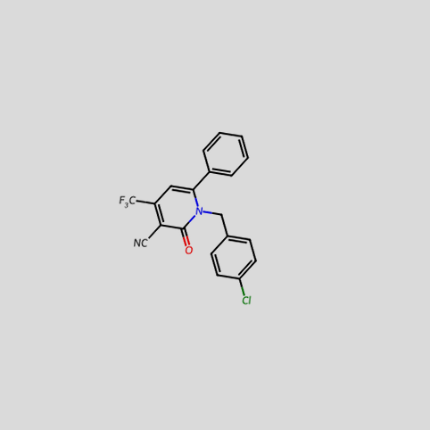 N#Cc1c(C(F)(F)F)cc(-c2ccccc2)n(Cc2ccc(Cl)cc2)c1=O